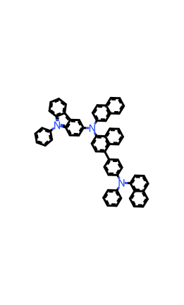 c1ccc(N(c2ccc(-c3ccc(N(c4ccc5ccccc5c4)c4ccc5c(c4)c4ccccc4n5-c4ccccc4)c4ccccc34)cc2)c2cccc3ccccc23)cc1